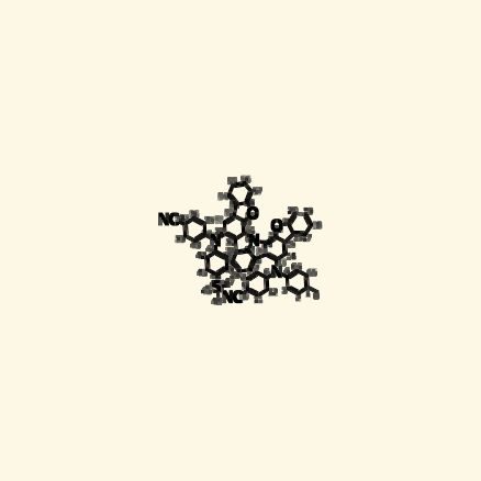 Cc1ccc(N(c2ccc(C#N)cc2)c2cc3c4ccccc4oc3c3c2c2cccc4c5c(N(c6ccc(C#N)cc6)c6ccc([Si](C)(C)C)cc6)cc6c7ccccc7oc6c5n3c24)cc1